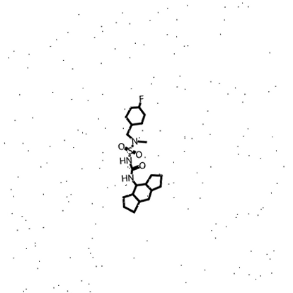 CN(CC1CCC(F)CC1)S(=O)(=O)NC(=O)NC1C2CCCC2CC2CCCC21